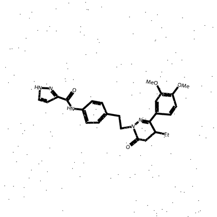 CCC1CC(=O)N(CCc2ccc(NC(=O)c3cc[nH]n3)cc2)N=C1c1ccc(OC)c(OC)c1